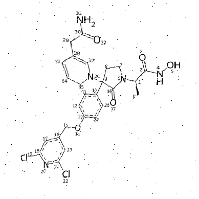 C[C@H](C(=O)NO)N1CCC(c2ccc(OCc3cc(Cl)nc(Cl)c3)cc2)(N2C=C(CC(N)=O)C=CC2)C1=O